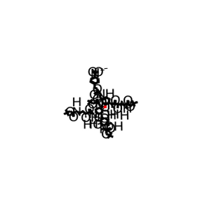 CN(C(=O)OC(C)(C)C)[C@@H]1[C@@H](O)[C@@H](O[C@@H]2[C@@H](O)[C@H](O[C@H]3OC(CNC(=O)OCc4ccc([N+](=O)[O-])cc4)=CC[C@H]3NC(=O)C(O)CNC(=O)OC(C)(C)C)[C@@H](NC(=O)OC(C)(C)C)C[C@H]2NC(=O)[C@@H](O)CCNC(=O)OC(C)(C)C)OC[C@]1(C)O